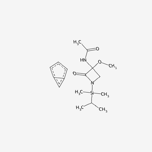 COC1(NC(C)=O)CN([Si](C)(C)C(C)C)C1=O.c1cc2cc-2c1